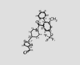 Cc1cc(OC(F)(F)F)cc(C(=O)N2CCC(c3nc(C=O)cs3)CC2)c1-c1ccccc1